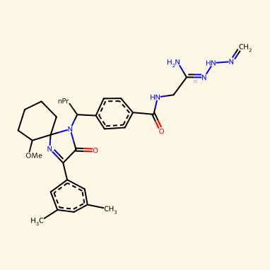 C=NN/N=C(\N)CNC(=O)c1ccc(C(CCC)N2C(=O)C(c3cc(C)cc(C)c3)=NC23CCCCC3OC)cc1